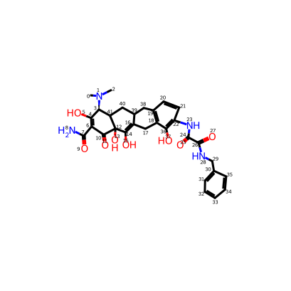 CN(C)[C@@H]1C(O)=C(C(N)=O)C(=O)C2(O)C(O)=C3Cc4c(ccc(NC(=O)C(=O)NCc5ccccc5)c4O)CC3CC12